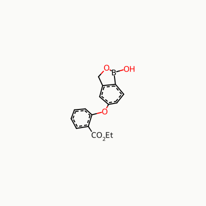 CCOC(=O)c1ccccc1Oc1ccc2c(c1)COB2O